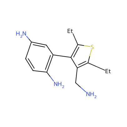 CCc1sc(CC)c(-c2cc(N)ccc2N)c1CN